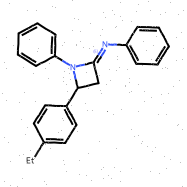 CCc1ccc(C2C/C(=N\c3ccccc3)N2c2ccccc2)cc1